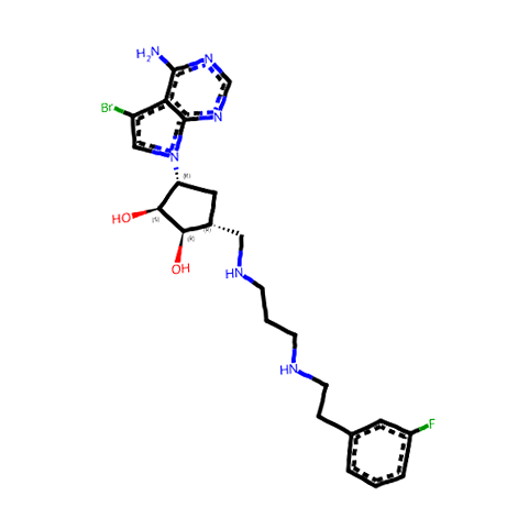 Nc1ncnc2c1c(Br)cn2[C@@H]1C[C@H](CNCCCNCCc2cccc(F)c2)[C@@H](O)[C@H]1O